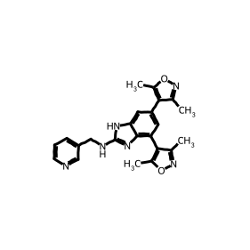 Cc1noc(C)c1-c1cc(-c2c(C)noc2C)c2nc(NCc3cccnc3)[nH]c2c1